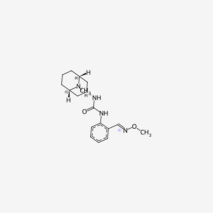 CO/N=C/c1ccccc1NC(=O)N[C@H]1C[C@H]2CCC[C@@H](C1)N2C